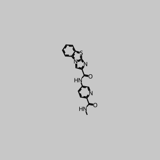 CNC(=O)c1ccc(NC(=O)c2cn3c(n2)sc2ccccc23)cn1